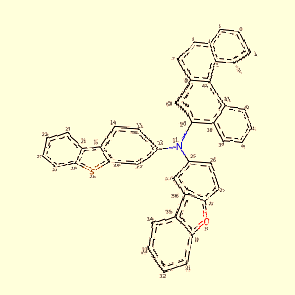 c1ccc2c(c1)ccc1cc(N(c3ccc4c(c3)sc3ccccc34)c3ccc4oc5ccccc5c4c3)c3ccccc3c12